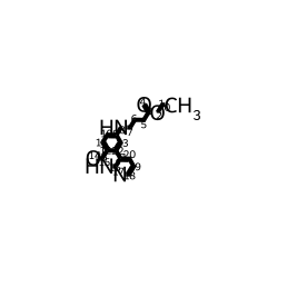 CCOC(=O)CCCNc1ccc2c(=O)[nH]c3ncccc3c2c1